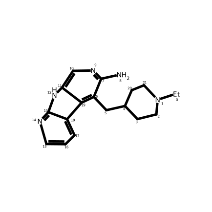 CCN1CCC(Cc2c(N)ncc3[nH]c4ncccc4c23)CC1